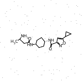 CC(N)CC(=O)N[C@H]1CC[C@H](NC(=O)c2cc(C3CC3)on2)CC1